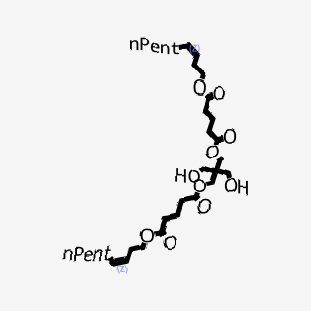 CCCCC/C=C\CCOC(=O)CCCC(=O)OCC(CO)(CO)COC(=O)CCCC(=O)OCC/C=C\CCCCC